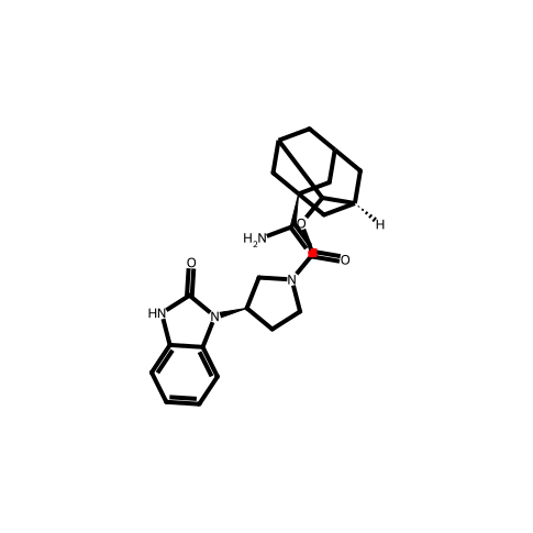 NC(=O)[C@]12CC3CC(C1)C(OC(=O)N1CC[C@@H](n4c(=O)[nH]c5ccccc54)C1)[C@@H](C3)C2